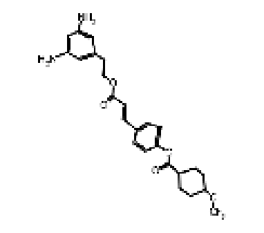 Nc1cc(N)cc(CCOC(=O)C=Cc2ccc(OC(=O)C3CCC(OC(F)(F)F)CC3)cc2)c1